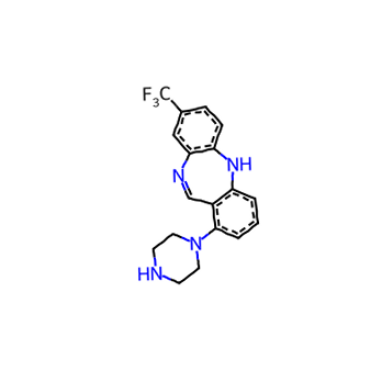 FC(F)(F)c1ccc2c(c1)N=Cc1c(cccc1N1CCNCC1)N2